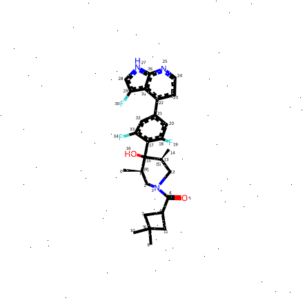 C[C@@H]1CN(C(=O)C2CC(C)(C)C2)C[C@H](C)C1(O)c1c(F)cc(-c2ccnc3[nH]cc(F)c23)cc1F